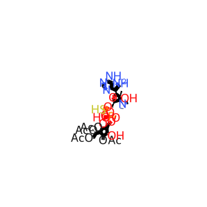 CC(=O)OC[C@H](OC(C)=O)C1C(OC(C)=O)C(O)C2C(OP(=O)(O)OP(=O)(S)OC[C@H]3O[C@@H](c4c[nH]c5c(N)ncnc45)[C@](C)(O)[C@@H]3N(C)C)OC21OC(C)=O